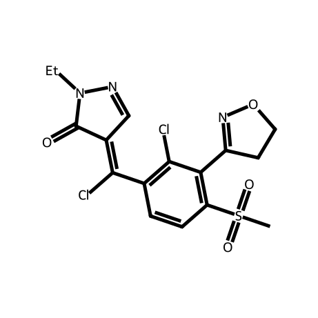 CCN1N=CC(=C(Cl)c2ccc(S(C)(=O)=O)c(C3=NOCC3)c2Cl)C1=O